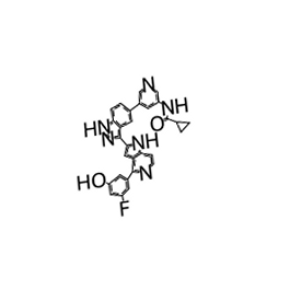 O=C(Nc1cncc(-c2ccc3[nH]nc(-c4cc5c(-c6cc(O)cc(F)c6)nccc5[nH]4)c3c2)c1)C1CC1